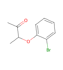 CC(=O)C(C)Oc1ccccc1Br